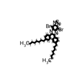 CCCCCCCCc1ccc(-c2nc3c(Br)c4nsnc4c(Br)c3nc2-c2ccc(CCCCCCCC)cc2)cc1